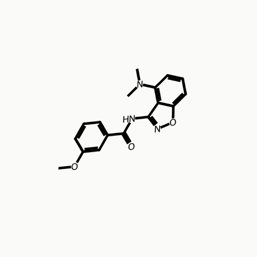 COc1cccc(C(=O)Nc2noc3cccc(N(C)C)c23)c1